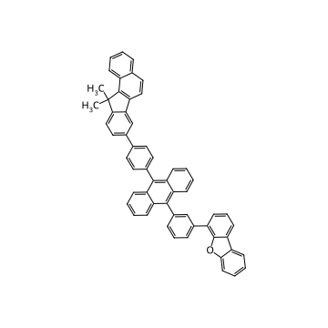 CC1(C)c2ccc(-c3ccc(-c4c5ccccc5c(-c5cccc(-c6cccc7c6oc6ccccc67)c5)c5ccccc45)cc3)cc2-c2ccc3ccccc3c21